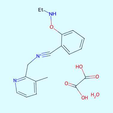 CCNOc1ccccc1C#[N+]Cc1ncccc1C.O.O=C(O)C(=O)O